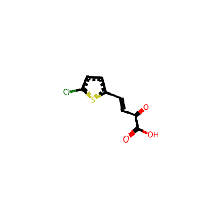 O=C(O)C(=O)C=Cc1ccc(Cl)s1